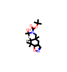 CC(C)(C)OC(=O)N1CC2(C)Cc3cnoc3C(C)(C)[C@@H]2CC1(C)O